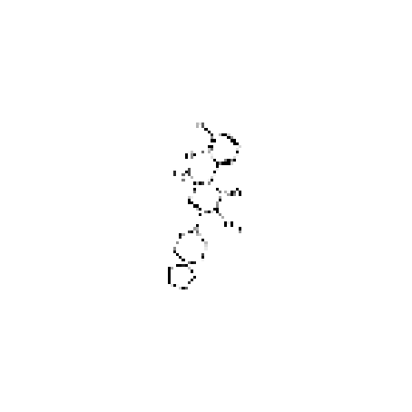 Cn1c(N2CCC3(CCCC3)CC2)nc(N)c(-c2cccc(Cl)c2Cl)c1=O